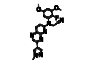 COc1cc(OC)c(F)c(N(CC#N)c2ccc3ncc(-c4cnn(C)c4)nc3n2)c1